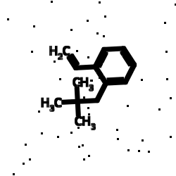 C=Cc1ccccc1CC(C)(C)C